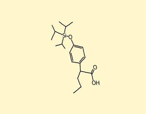 CCCC(C(=O)O)c1ccc(O[Si](C(C)C)(C(C)C)C(C)C)cc1